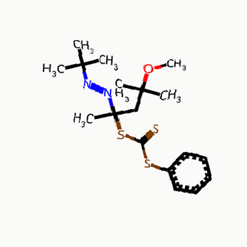 COC(C)(C)CC(C)(N=NC(C)(C)C)SC(=S)Sc1ccccc1